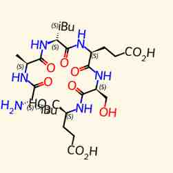 CC[C@H](C)[C@H](N)C(=O)N[C@@H](C)C(=O)N[C@H](C(=O)N[C@@H](CCC(=O)O)C(=O)N[C@@H](CO)C(=O)N[C@@H](CCC(=O)O)C(=O)O)[C@@H](C)CC